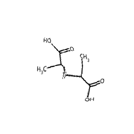 C[CH]([Ti][CH](C)C(=O)O)C(=O)O